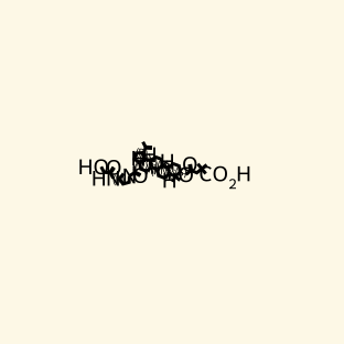 C=C(C)[C@@H]1CC[C@]2(CC(=O)N3CC[C@@H](NC(=O)CO)C3)CC[C@]3(C)[C@H](CC[C@@H]4[C@@]5(C)CC[C@H](OC(=O)CC(C)(C)C(=O)O)C(C)(C)[C@@H]5CC[C@]43C)[C@@H]12